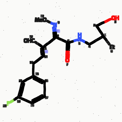 CCC(CO)CNC(=O)C(=N/OC)/C(C=O)=C/Cc1cccc(F)c1